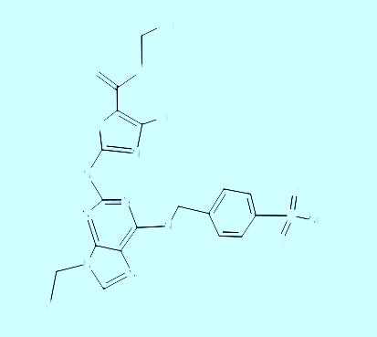 CCOC(=O)c1sc(Nc2nc(NCc3ccc(S(N)(=O)=O)cc3)c3ncn(CC)c3n2)nc1C